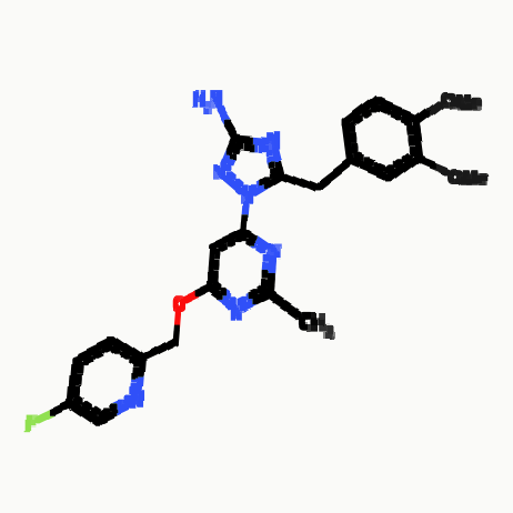 COc1ccc(Cc2nc(N)nn2-c2cc(OCc3ccc(F)cn3)nc(C)n2)cc1OC